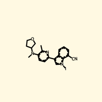 Cc1nc(-c2cn(I)c3c(C#N)cccc23)ccc1N(C)C1CCOC1